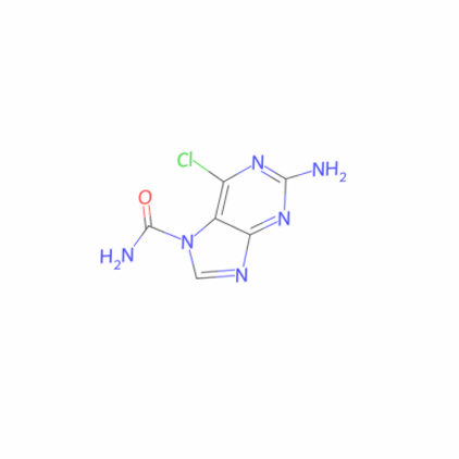 NC(=O)n1cnc2nc(N)nc(Cl)c21